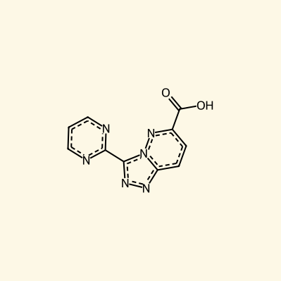 O=C(O)c1ccc2nnc(-c3ncccn3)n2n1